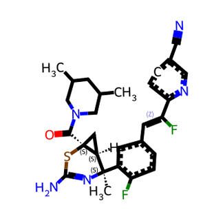 CC1CC(C)CN(C(=O)[C@]23C[C@H]2[C@@](C)(c2cc(/C=C(\F)c4ccc(C#N)cn4)ccc2F)N=C(N)S3)C1